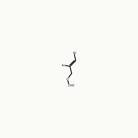 CC(=O)/C=C(/COC=O)C(C)=O